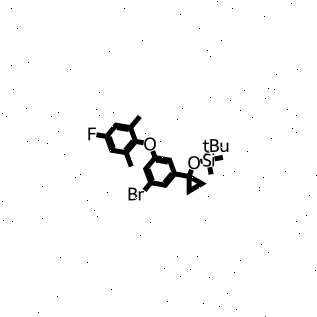 Cc1cc(F)cc(C)c1Oc1cc(Br)cc(C2(O[Si](C)(C)C(C)(C)C)CC2)c1